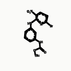 CC(C)(C)OC(=O)Nc1cccc(Nc2nc(Br)ccc2[N+](=O)[O-])c1